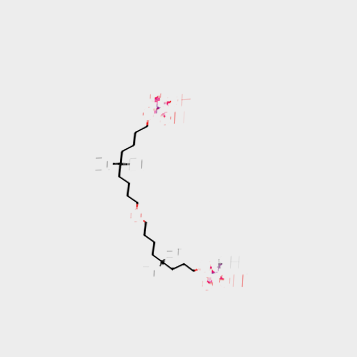 CCC(CC)(CCCCOCCCCC(CC)(CC)CCCOP(C)(=O)O)CCCCOP(=O)(O)O